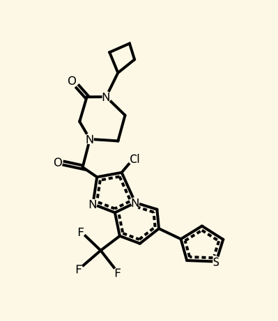 O=C(c1nc2c(C(F)(F)F)cc(-c3ccsc3)cn2c1Cl)N1CCN(C2CCC2)C(=O)C1